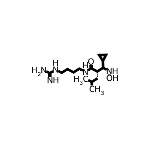 CC(C)C[C@H](C(=O)NCCCCNC(=N)N)C(NO)C1CC1